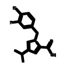 CC(C)c1cc(C(=O)O)n(Cc2ccc(Cl)c(F)c2)c1